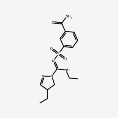 CCN/C(=N\S(=O)(=O)c1cccc(C(N)=O)c1)N1CC(CC)C=N1